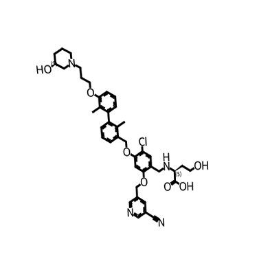 Cc1c(COc2cc(OCc3cncc(C#N)c3)c(CN[C@@H](CCO)C(=O)O)cc2Cl)cccc1-c1cccc(OCCCN2CCC[C@H](O)C2)c1C